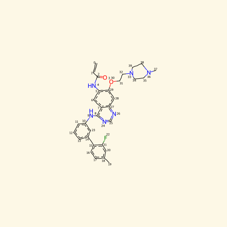 C=CC(=O)Nc1cc2c(Nc3cccc(-c4ccc(C)cc4F)c3)ncnc2cc1OCCN1CCN(C)CC1